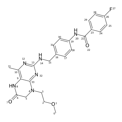 COCCN1CC(=O)Nc2c(C)nc(NCc3ccc(NC(=O)c4ccc(F)cc4)cc3)nc21